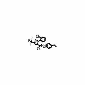 CCc1ccc(CNC(=O)c2cc(C(F)(F)F)nn2-c2ccccc2Cl)cc1